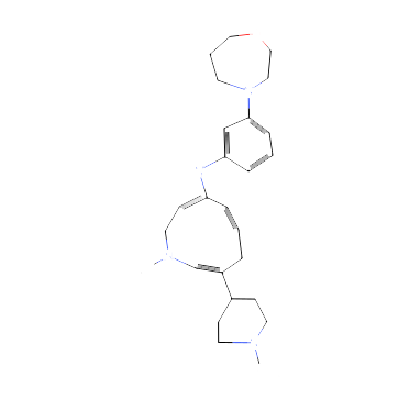 CN1/C=C(/C2CCN(C)CC2)C/C=C\C(Nc2cccc(N3CCCOCC3)c2)=C/C1